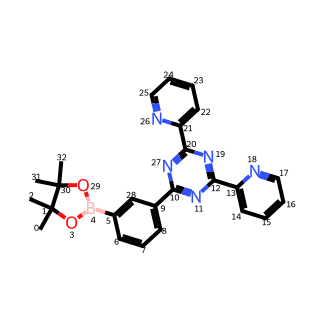 CC1(C)OB(c2cccc(-c3nc(-c4ccccn4)nc(-c4ccccn4)n3)c2)OC1(C)C